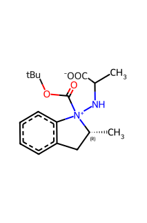 CC(N[N+]1(C(=O)OC(C)(C)C)c2ccccc2C[C@H]1C)C(=O)[O-]